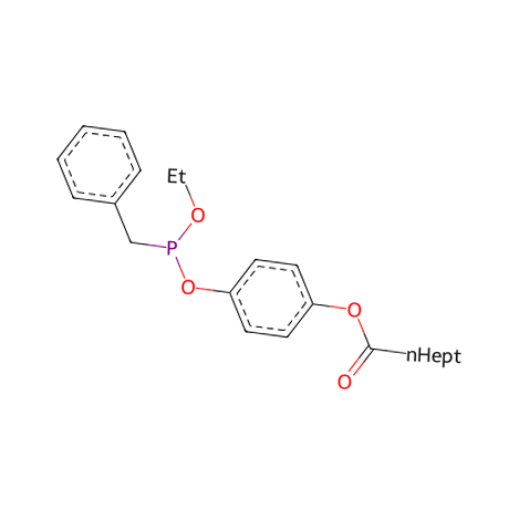 CCCCCCCC(=O)Oc1ccc(OP(Cc2ccccc2)OCC)cc1